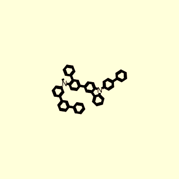 CN(c1cccc(-c2cccc(-c3ccccc3)c2)c1)c1ccc(-c2ccc3c(c2)c2ccccc2n3-c2ccc(-c3ccccc3)cc2)cc1-c1ccccc1